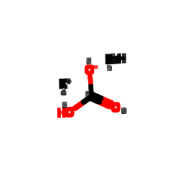 O=C([O-])O.[K+].[RbH]